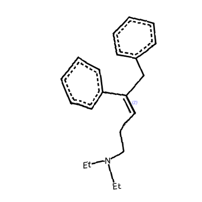 CCN(CC)CC/C=C(/Cc1ccccc1)c1ccccc1